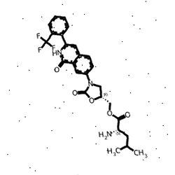 CC(C)C[C@H](N)C(=O)OC[C@H]1CN(c2ccc3cc(-c4ccccc4C(F)(F)F)[nH]c(=O)c3c2)C(=O)O1